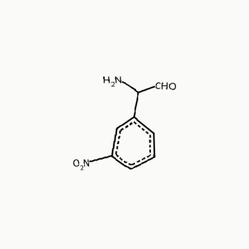 NC(C=O)c1cccc([N+](=O)[O-])c1